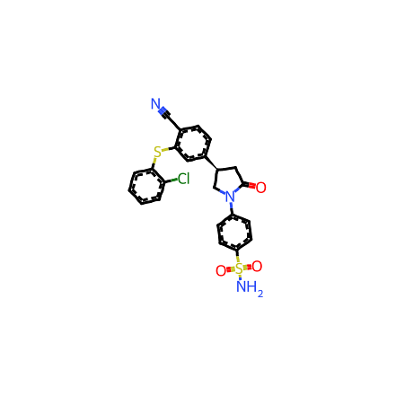 N#Cc1ccc([C@H]2CC(=O)N(c3ccc(S(N)(=O)=O)cc3)C2)cc1Sc1ccccc1Cl